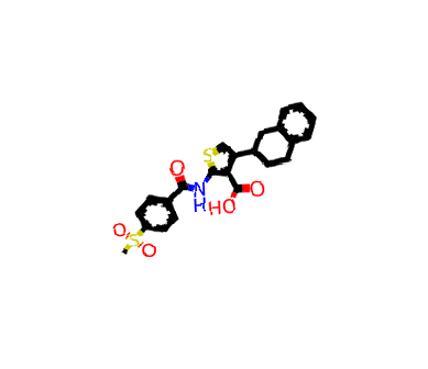 CS(=O)(=O)c1ccc(C(=O)Nc2scc(C3CCc4ccccc4C3)c2C(=O)O)cc1